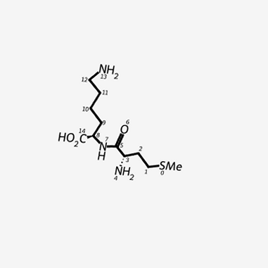 CSCC[C@H](N)C(=O)N[C@H](CCCCN)C(=O)O